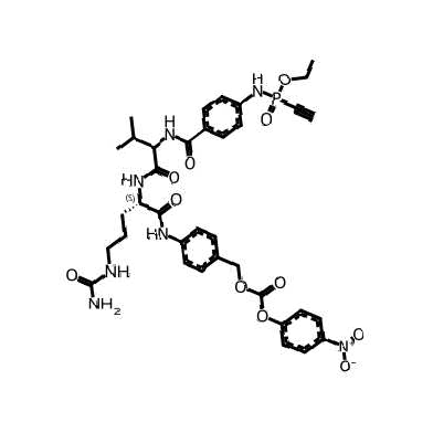 C#CP(=O)(Nc1ccc(C(=O)NC(C(=O)N[C@@H](CCCNC(N)=O)C(=O)Nc2ccc(COC(=O)Oc3ccc([N+](=O)[O-])cc3)cc2)C(C)C)cc1)OCC